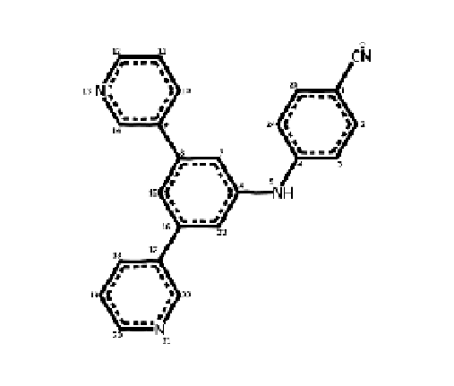 N#Cc1ccc(Nc2cc(-c3cccnc3)cc(-c3cccnc3)c2)cc1